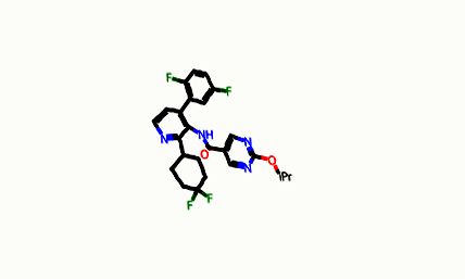 CC(C)Oc1ncc(C(=O)Nc2c(-c3cc(F)ccc3F)ccnc2C2CCC(F)(F)CC2)cn1